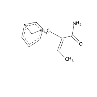 CC=C(C)C(N)=O.c1cc2cc(c1)C2